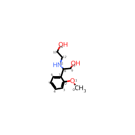 COc1ccccc1C(CO)NCCO